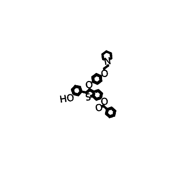 O=C(Oc1ccc2c(Oc3ccc(OCCN4CCCCC4)cc3)c(-c3cccc(O)c3)sc2c1)c1ccccc1